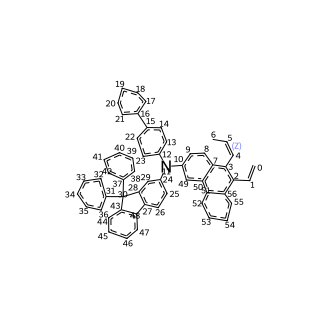 C=Cc1c(/C=C\C)c2ccc(N(c3ccc(-c4ccccc4)cc3)c3ccc4c(c3)C(c3ccccc3)(c3ccccc3)c3ccccc3-4)cc2c2ccccc12